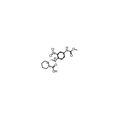 COC(=O)Nc1ccc(NC[C@H]2CCCCN2C(=O)O)c([N+](=O)[O-])c1